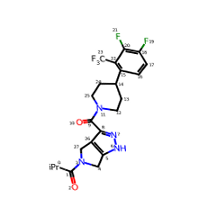 CC(C)C(=O)N1Cc2[nH]nc(C(=O)N3CCC(c4ccc(F)c(F)c4C(F)(F)F)CC3)c2C1